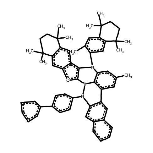 Cc1cc2c3c(c1)N(c1cc4c(cc1C)C(C)(C)CCC4(C)C)c1c(oc4cc5c(cc14)C(C)(C)CCC5(C)C)B3N(c1ccc(-c3ccccc3)cc1)c1cc3ccccc3cc1-2